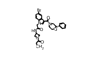 C=CC(=O)N1CC(NC(=O)Cn2cc(C(=O)N3CCO[C@H](c4ccccc4)C3)c3cc(Br)ccc32)C1